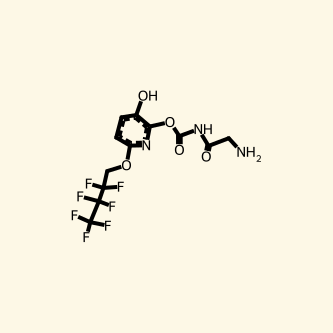 NCC(=O)NC(=O)Oc1nc(OCC(F)(F)C(F)(F)C(F)(F)F)ccc1O